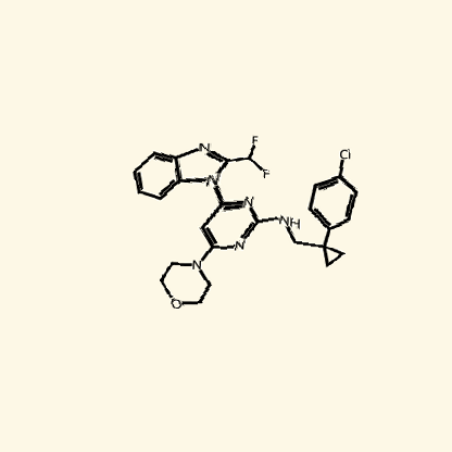 FC(F)c1nc2ccccc2n1-c1cc(N2CCOCC2)nc(NCC2(c3ccc(Cl)cc3)CC2)n1